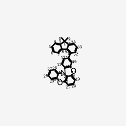 CC1(C)c2ccccc2-c2c(-c3ccc4c(c3)Oc3cccc5c3N4c3ccccc3O5)cccc21